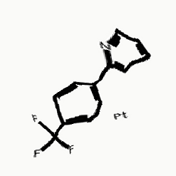 FC(F)(F)c1ccc(-c2ccccn2)cc1.[Pt]